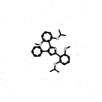 COc1cccc(OC(C)C)c1-c1cc(-c2ccccc2)c(-c2c(OC)cccc2OC(C)C)s1